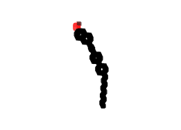 CCCCCCCCCC1CCC(c2ccc(C#Cc3ccc4cc(OC)ccc4c3)cc2)CC1